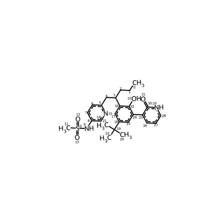 CCCC(Cc1ccc(NS(C)(=O)=O)cn1)c1cc(C(C)(C)C)cc(-c2ccc[nH]c2=O)c1O